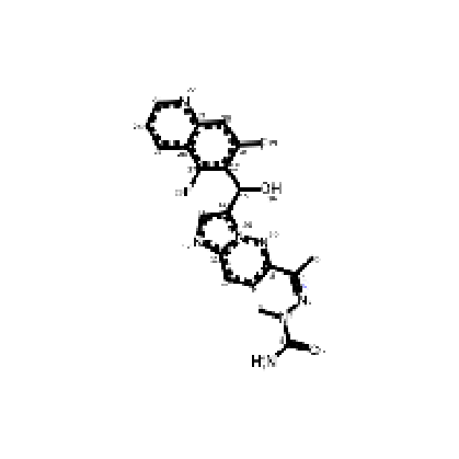 C/C(=N/N(C)C(N)=O)c1ccc2ncc(C(O)c3c(F)cc4ncccc4c3F)n2n1